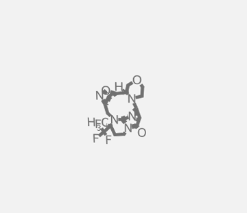 C[C@@]1(C(F)(F)F)CCn2c3nc(cc2=O)N2CCOC[C@H]2c2cc(no2)CN31